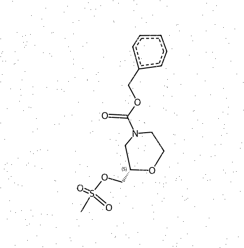 CS(=O)(=O)OC[C@@H]1CN(C(=O)OCc2ccccc2)CCO1